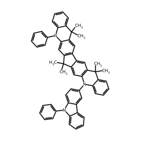 CC1(C)c2cc3c(cc2-c2cc4c(cc21)N(c1ccc2c(c1)c1ccccc1n2-c1ccccc1)c1ccccc1C4(C)C)C(C)(C)c1ccccc1N3c1ccccc1